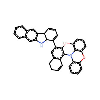 B1c2cccc3c2N(c2ccccc2O3)c2c1c(C1=CC=CC3c4cc5ccccc5cc4NC13)cc1c2C=CCC1